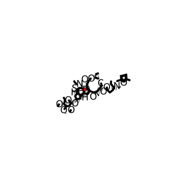 CC[C@H]1CCC[C@H](OC2CC[C@H](N(C)Cc3ccc(C)o3)C(C)O2)[C@@H](C)C(=O)C2=C[C@H]3[C@@H]4C[C@H](O[C@@H]5OC(C)[C@H](OC)C(OC)C5OC)C[C@H]4c4sc(C)nc4[C@H]3[C@@H]2CC(=O)O1